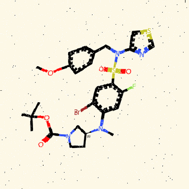 COc1ccc(CN(c2cscn2)S(=O)(=O)c2cc(Br)c(N(C)[C@H]3CCN(C(=O)OC(C)(C)C)C3)cc2F)cc1